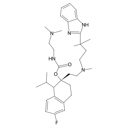 CC(C)C1c2ccc(F)cc2CC[C@@]1(CCN(C)CCC(C)(C)c1nc2ccccc2[nH]1)OC(=O)NCCN(C)C